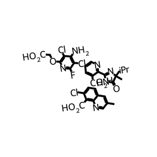 CC(C)C1(C)N=C(c2ncccc2C(=O)O)NC1=O.Cc1cnc2c(C(=O)O)c(Cl)ccc2c1.Nc1c(Cl)c(F)nc(OCC(=O)O)c1Cl